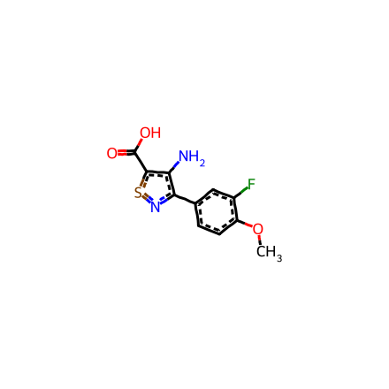 COc1ccc(-c2nsc(C(=O)O)c2N)cc1F